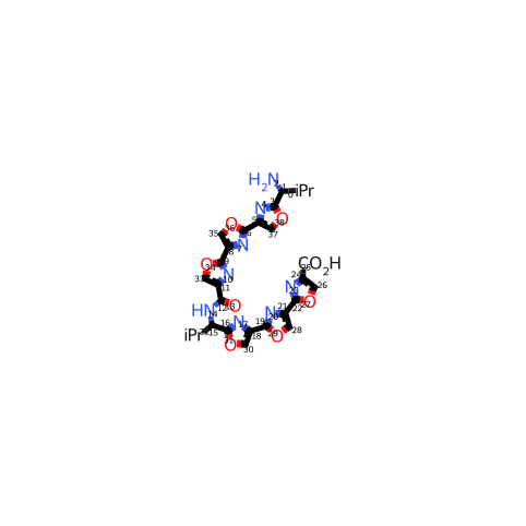 CC(C)C(N)c1nc(-c2nc(-c3nc(C(=O)NC(c4nc(-c5nc(-c6nc(C(=O)O)co6)co5)co4)C(C)C)co3)co2)co1